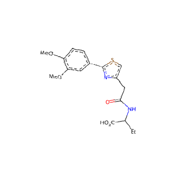 CCC(NC(=O)Cc1csc(-c2ccc(OC)c(OC)c2)n1)C(=O)O